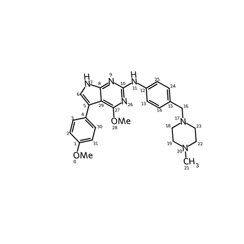 COc1ccc(-c2c[nH]c3nc(Nc4ccc(CN5CCN(C)CC5)cc4)nc(OC)c23)cc1